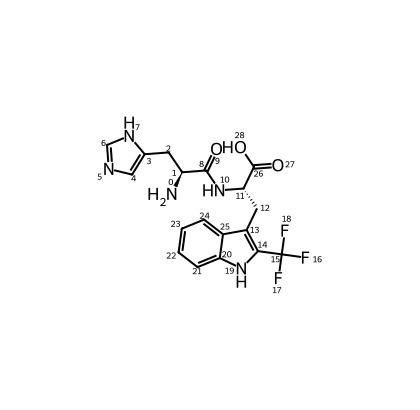 N[C@@H](Cc1cnc[nH]1)C(=O)N[C@@H](Cc1c(C(F)(F)F)[nH]c2ccccc12)C(=O)O